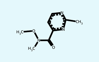 CON(C)C(=O)c1ccnc(C)n1